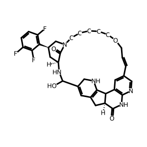 O=C1Nc2ncc3cc2C2C4=C(C=C(CN4)C(O)N[C@H]4C[C@@H](c5c(F)ccc(F)c5F)CN(CCCCCOC/C=C/3)C4=O)C[C@H]12